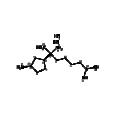 Cl.Cl.N[C@@H]1CC[C@H](C(N)(CCCCB(O)O)C(=O)O)C1